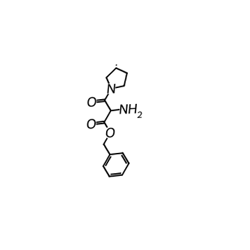 NC(C(=O)OCc1ccccc1)C(=O)N1C[CH]CC1